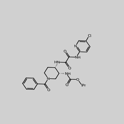 CC(C)OC(=O)N[C@@H]1CN(C(=O)c2ccccc2)CC[C@@H]1NC(=O)C(=O)Nc1ccc(Cl)cn1